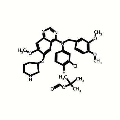 CC(C)(C)OC=O.COc1ccc(CN(c2ccc(F)c(Cl)c2)c2ncnc3cc(OC)c(SC4CCCNC4)cc23)cc1OC